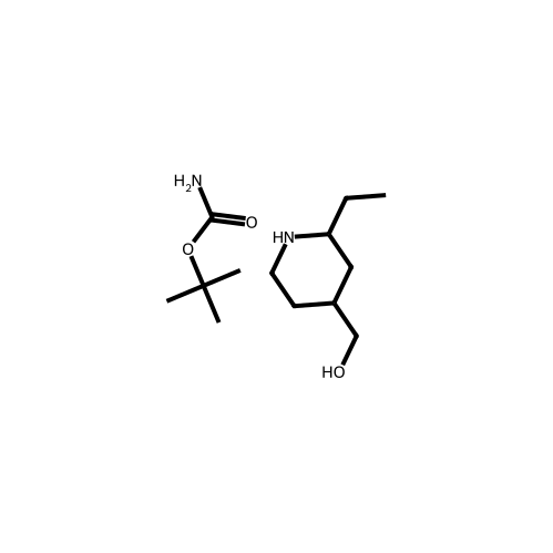 CC(C)(C)OC(N)=O.CCC1CC(CO)CCN1